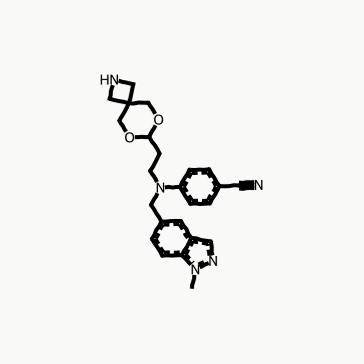 Cn1ncc2cc(CN(CCC3OCC4(CNC4)CO3)c3ccc(C#N)cc3)ccc21